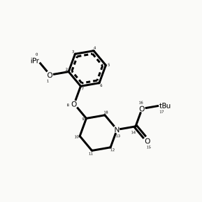 CC(C)Oc1ccccc1OC1CCCN(C(=O)OC(C)(C)C)C1